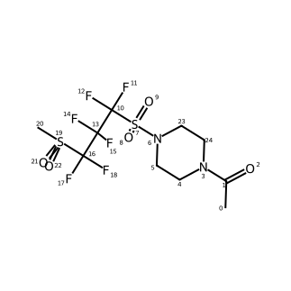 CC(=O)N1CCN(S(=O)(=O)C(F)(F)C(F)(F)C(F)(F)S(C)(=O)=O)CC1